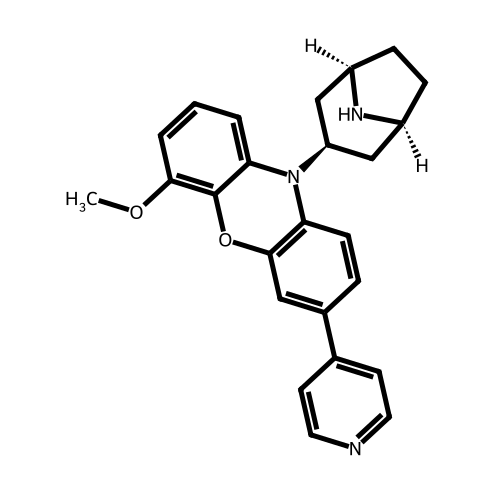 COc1cccc2c1Oc1cc(-c3ccncc3)ccc1N2[C@H]1C[C@H]2CC[C@@H](C1)N2